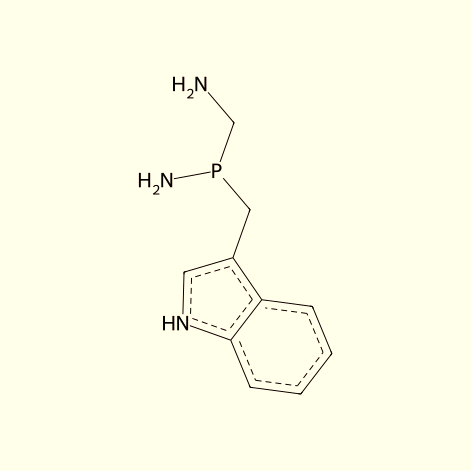 NCP(N)Cc1c[nH]c2ccccc12